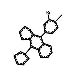 Cc1ccc(-c2c3ccccc3c(-c3ccccc3)c3ccccc23)cc1Br